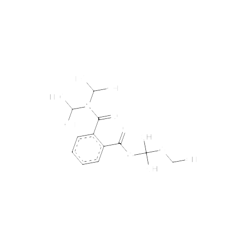 CCOC(C)(C)OC(=O)c1ccccc1C(=O)N(C(C)C)C(C)C